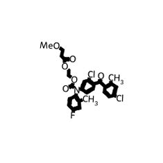 COCCC(=O)OCCOC(=O)N(c1ccc(C(=O)c2ccc(Cl)cc2C)c(Cl)c1)c1ccc(F)cc1C